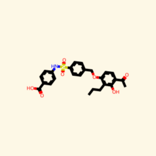 CCCc1c(OCc2ccc(S(=O)(=O)Nc3ccc(C(=O)O)cc3)cc2)ccc(C(C)=O)c1O